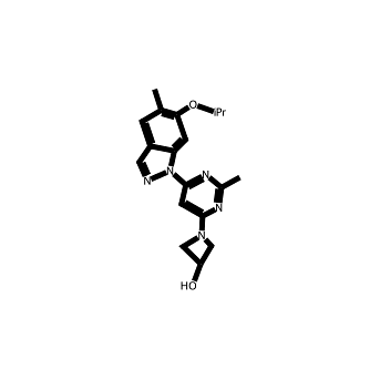 Cc1nc(N2CC(O)C2)cc(-n2ncc3cc(C)c(OC(C)C)cc32)n1